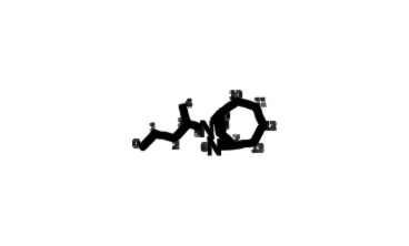 CCCC(C)n1nc2cc1CCCC2